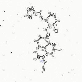 C=C/C=C(/c1cc(C)nc2c(OCc3c(Cl)cncc3SCc3ncon3)cccc12)N(C)C